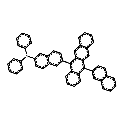 c1ccc(N(c2ccccc2)c2ccc3cc(-c4c5ccccc5c(-c5ccc6ccccc6c5)c5cc6ccccc6cc45)ccc3c2)cc1